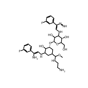 COC(NCCN)C1CC(N/C=C(\N)c2cccc(F)c2)C(O)[C@H](O[C@@H]2OC(CO)[C@H](O)C(N/C=C(\N=N)c3cccc(F)c3)C2O)C1